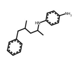 CC(Cc1ccccc1)CC(C)Nc1ccc(N)cc1